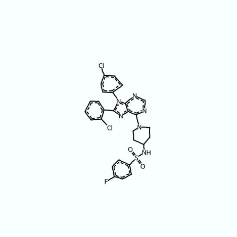 O=S(=O)(NC1CCN(c2ncnc3c2nc(-c2ccccc2Cl)n3-c2ccc(Cl)cc2)CC1)c1ccc(F)cc1